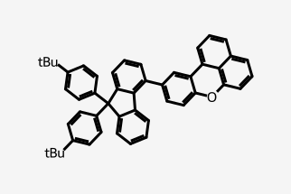 CC(C)(C)c1ccc(C2(c3ccc(C(C)(C)C)cc3)c3ccccc3-c3c(-c4ccc5c(c4)-c4cccc6cccc(c46)O5)cccc32)cc1